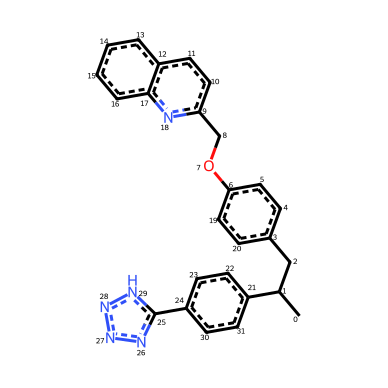 CC(Cc1ccc(OCc2ccc3ccccc3n2)cc1)c1ccc(-c2nnn[nH]2)cc1